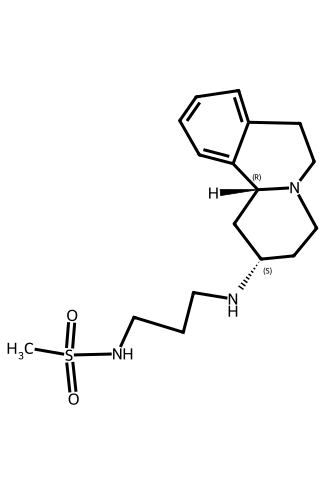 CS(=O)(=O)NCCCN[C@H]1CCN2CCc3ccccc3[C@H]2C1